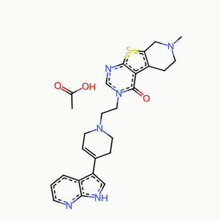 CC(=O)O.CN1CCc2c(sc3ncn(CCN4CC=C(c5c[nH]c6ncccc56)CC4)c(=O)c23)C1